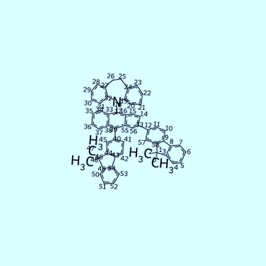 CC1(C)c2ccccc2-c2ccc(-c3ccc4c(N5c6ccccc6CCc6ccccc65)c5ccccc5c(-c5ccc6c(c5)C(C)(C)c5ccccc5-6)c4c3)cc21